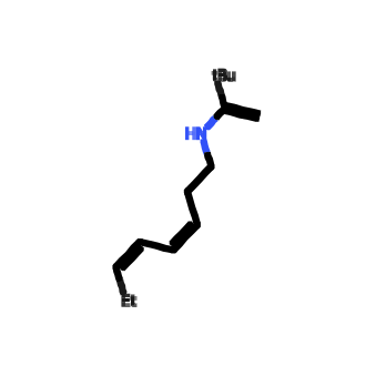 C=C(NCC/C=C\C=C/CC)C(C)(C)C